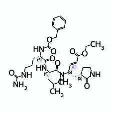 CCOC(=O)/C=C/[C@H](C[C@@H]1CCNC1=O)NC(=O)[C@H](CC(C)C)NC(=O)[C@H](CCCNC(N)=O)NC(=O)OCc1ccccc1